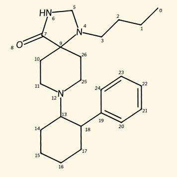 CCCCN1CNC(=O)C12CCN(C1CCCCC1c1ccccc1)CC2